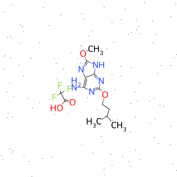 COc1nc2c(N)nc(OCCC(C)C)nc2[nH]1.O=C(O)C(F)(F)F